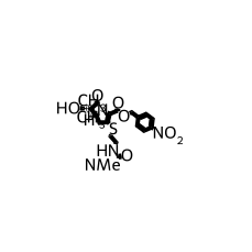 CNC(=O)NCCSC1=C(C(=O)OCc2ccc([N+](=O)[O-])cc2)N2C(=O)[C@@H](C(C)(C)O)[C@@H]2C1